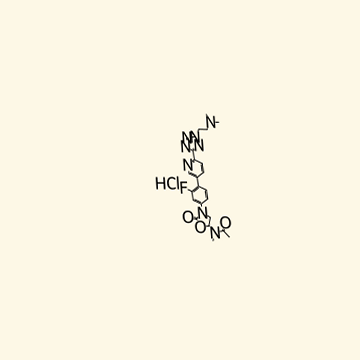 CC(=O)N(C)[C@H]1CN(c2ccc(-c3ccc(-c4nnn(CCN(C)C)n4)nc3)c(F)c2)C(=O)O1.Cl